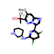 COc1cc2ncc(-c3nc(N[C@@H]4CCCNC4)c(F)cc3F)n2nc1[C@](C)(O)C(F)(F)F